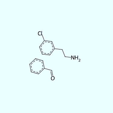 NCCc1cccc(Cl)c1.O=Cc1ccccc1